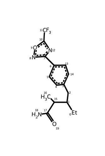 CCC(Cc1ccc(-c2noc(C(F)(F)F)n2)cc1)C(C)C(N)=O